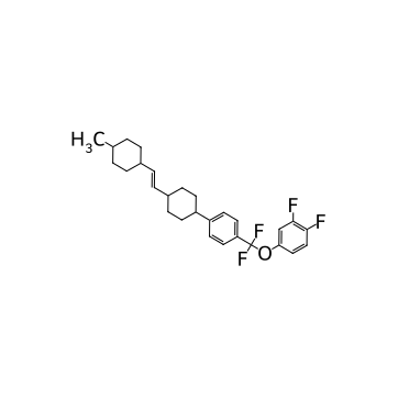 CC1CCC(/C=C/C2CCC(c3ccc(C(F)(F)Oc4ccc(F)c(F)c4)cc3)CC2)CC1